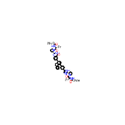 COC(=O)N[C@H](C(=O)N1CCC[C@H]1c1ncc(C2=CC=C(c3ccc(-c4ccc5nc([C@@H]6CCCN6C(=O)[C@@H](NC(=O)OC)C(C)C)[nH]c(=O)c5c4)c4c3C3(CCCC3)CC4)CC2)[nH]1)C(C)C